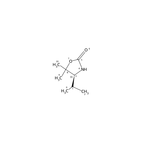 CC(C)[C@@H]1NC(=O)OC1(C)C